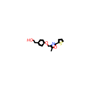 Cc1oc(-c2cccs2)nc1COc1ccc(CCO)cc1